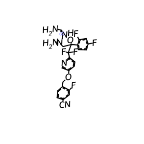 N#Cc1ccc(COc2ccc(C(F)(F)C(O)(CN(N)/N=C\N)c3ccc(F)cc3F)nc2)c(F)c1